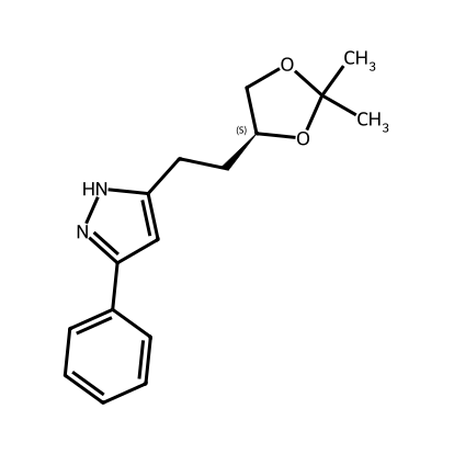 CC1(C)OC[C@H](CCc2cc(-c3ccccc3)n[nH]2)O1